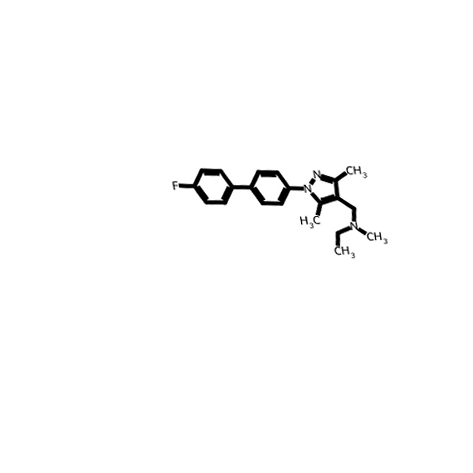 CCN(C)Cc1c(C)nn(-c2ccc(-c3ccc(F)cc3)cc2)c1C